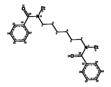 CCN(CCCCCCN(CC)C(=O)c1ccccc1)C(=O)c1ccccc1